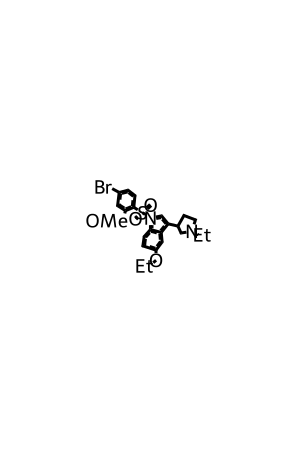 CCOc1ccc2c(c1)c(C1CCN(CC)C1)cn2S(=O)(=O)c1ccc(Br)cc1OC